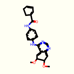 COC1C=c2ncnc(Nc3ccc(NC(=O)C4=CC=CCC4)cc3)c2=CC1OC